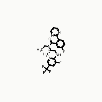 CCN(C(=O)c1cc(F)ccc1-c1ncccn1)[C@@H](C)CNc1ncc(C(F)(F)F)cc1F